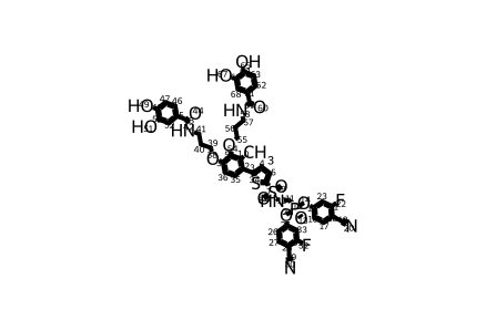 Cc1c(-c2ccc(S(=O)(=O)NCP(=O)(Oc3ccc(C#N)c(F)c3)Oc3ccc(C#N)c(F)c3)s2)ccc(OCCCNC(=O)c2ccc(O)c(O)c2)c1OCCCNC(=O)c1ccc(O)c(O)c1